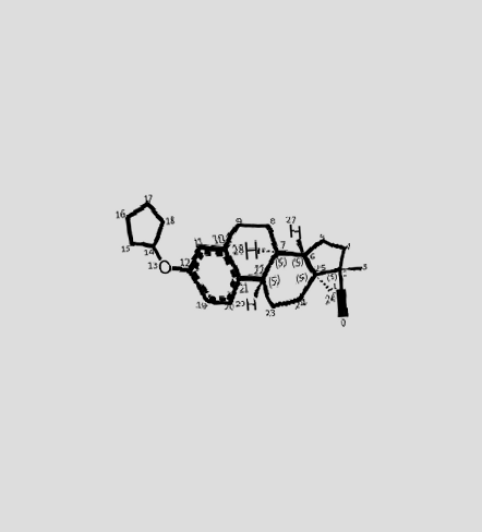 C#C[C@@]1(C)CC[C@H]2[C@@H]3CCc4cc(OC5CCCC5)ccc4[C@H]3CC[C@@]21C